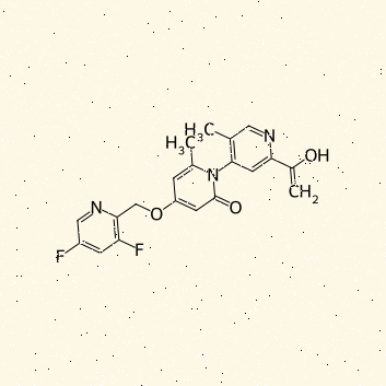 C=C(O)c1cc(-n2c(C)cc(OCc3ncc(F)cc3F)cc2=O)c(C)cn1